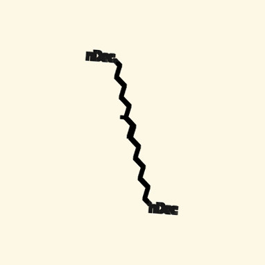 CCCCCCCCCCCCCCC[CH]C=CCCCCCCCCCCCCCCCC